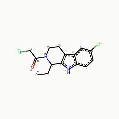 CC(C)CC1c2[nH]c3ccc(Cl)cc3c2CCN1C(=O)CCl